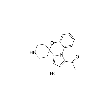 CC(=O)c1ccc2n1-c1ccccc1OC21CCNCC1.Cl